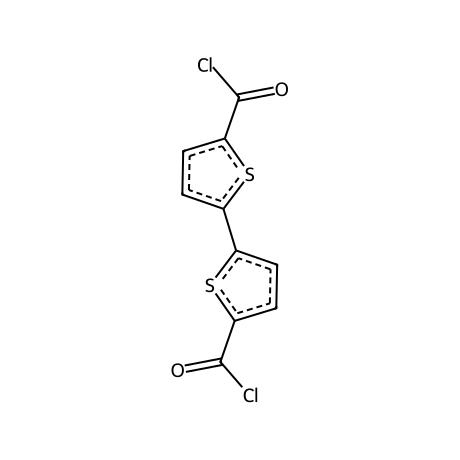 O=C(Cl)c1ccc(-c2ccc(C(=O)Cl)s2)s1